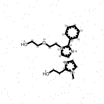 Cn1ccnc1CCO.OCCOCCn1ccnc1-c1ccccc1